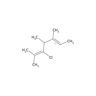 C/C=C(\C)C(C)C(Cl)=C(C)C